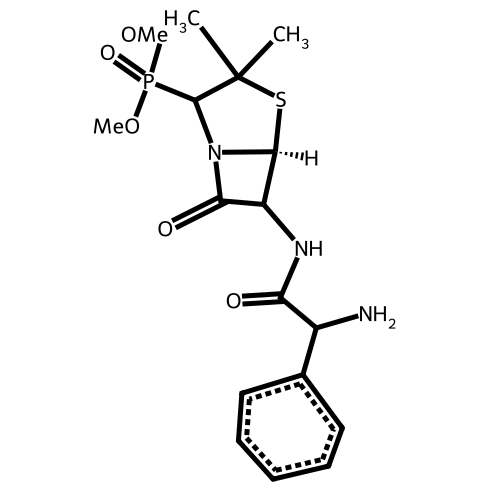 COP(=O)(OC)C1N2C(=O)C(NC(=O)C(N)c3ccccc3)[C@@H]2SC1(C)C